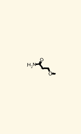 COC[CH]C(N)=O